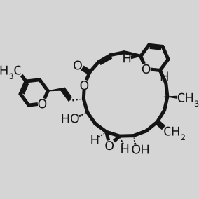 C=C1C[C@H](C)C[C@@H]2CC=C[C@@H](C/C=C\C(=O)O[C@@H](/C=C/[C@@H]3CC(C)=CCO3)[C@@H](O)C[C@@H]3O[C@@H]3[C@@H](O)C1)O2